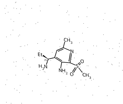 CC[C@H](N)c1cc(C)nc(S(C)(=O)=O)c1N